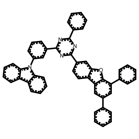 c1ccc(-c2cc(-c3ccccc3)c3oc4cc(-c5nc(-c6ccccc6)nc(-c6cccc(-n7c8ccccc8c8ccccc87)c6)n5)ccc4c3c2)cc1